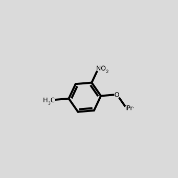 C[C](C)Oc1ccc(C)cc1[N+](=O)[O-]